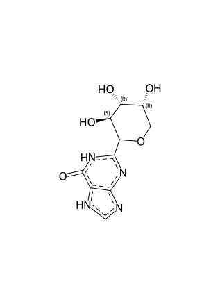 O=c1[nH]c(C2OC[C@@H](O)[C@@H](O)[C@@H]2O)nc2nc[nH]c12